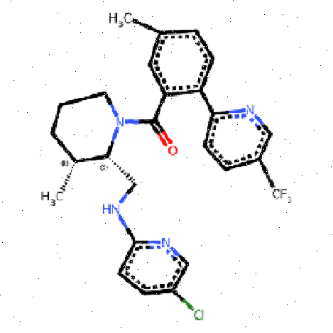 Cc1ccc(-c2ccc(C(F)(F)F)cn2)c(C(=O)N2CCC[C@@H](C)[C@H]2CNc2ccc(Cl)cn2)c1